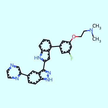 CN(C)CCOc1cc(F)cc(-c2cccc3[nH]c(-c4n[nH]c5ccc(-c6cnccn6)cc45)cc23)c1